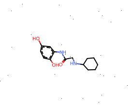 O=C(CNC1CCCCC1)Nc1cc(O)ccc1O